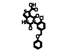 O=C(O)c1scc2[nH]c(=O)n(-c3cc(COc4ccccc4)ccc3Cl)c(=O)c12